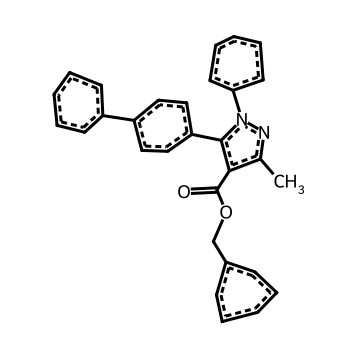 Cc1nn(-c2ccccc2)c(-c2ccc(-c3ccccc3)cc2)c1C(=O)OCc1ccccc1